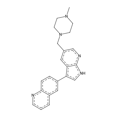 CN1CCN(Cc2cnc3[nH]cc(-c4ccc5ncccc5c4)c3c2)CC1